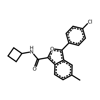 Cc1ccc2c(C(=O)NC3CCC3)oc(-c3ccc(Cl)cc3)c2c1